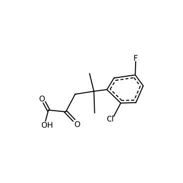 CC(C)(CC(=O)C(=O)O)c1cc(F)ccc1Cl